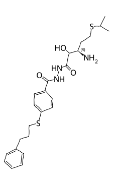 CC(C)SCC[C@@H](N)C(O)C(=O)NNC(=O)c1ccc(SCCCc2ccccc2)cc1